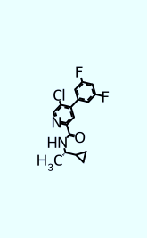 C[C@H](NC(=O)c1cc(-c2cc(F)cc(F)c2)c(Cl)cn1)C1CC1